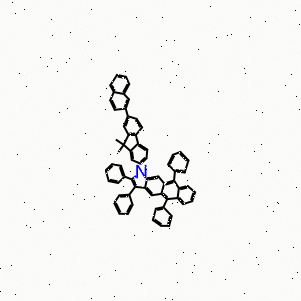 CC1(C)c2cc(-c3ccc4ccccc4c3)ccc2-c2ccc(-n3c(-c4ccccc4)c(-c4ccccc4)c4cc5c(-c6ccccc6)c6ccccc6c(-c6ccccc6)c5cc43)cc21